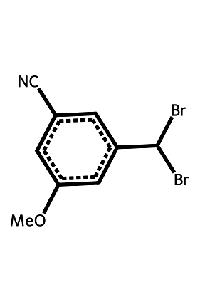 COc1cc(C#N)cc(C(Br)Br)c1